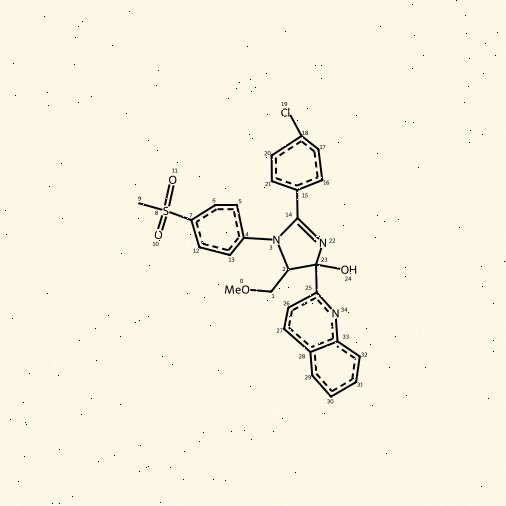 COCC1N(c2ccc(S(C)(=O)=O)cc2)C(c2ccc(Cl)cc2)=NC1(O)c1ccc2ccccc2n1